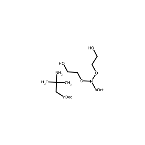 CCCCCCCCCCCC(C)(C)N.CCCCCCCCN(OCCO)OCCO